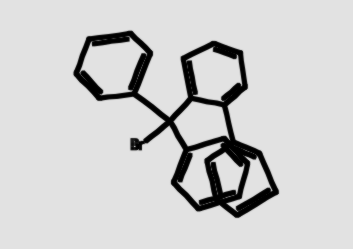 BrC(c1ccccc1)(c1ccccc1)c1ccccc1-c1ccccc1